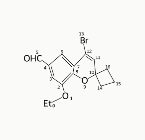 CCOc1cc(C=O)cc2c1OC1(C=C2Br)CCC1